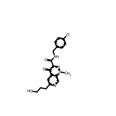 Cn1nc(C(=O)NCc2ccc(Cl)cc2)c(=O)c2cc(CCCO)ncc21